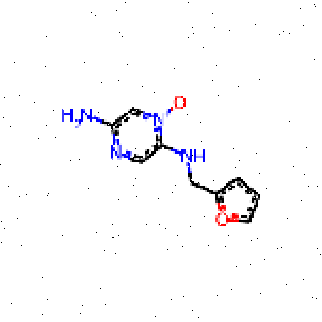 Nc1c[n+]([O-])c(NCc2ccco2)cn1